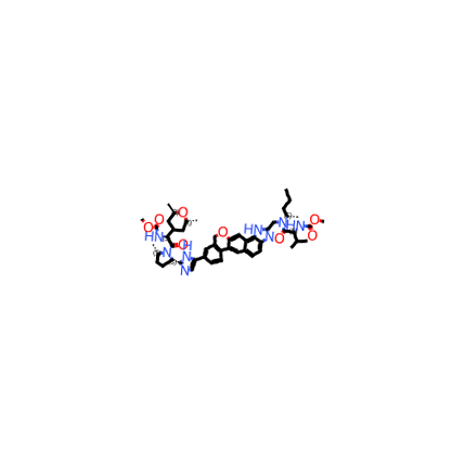 CCC[C@H](C)N(Cc1nc2ccc3cc4c(cc3c2[nH]1)OCc1cc(-c2cnc([C@@H]3CC[C@H](C)N3C(=O)[C@@H](NC(=O)OC)C3C[C@@H](C)O[C@H](C)C3)[nH]2)ccc1-4)C(=O)[C@@H](NC(=O)OC)C(C)C